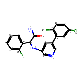 NC(=O)C(Nc1cncc(-c2cc(Cl)ccc2F)c1)c1ccccc1F